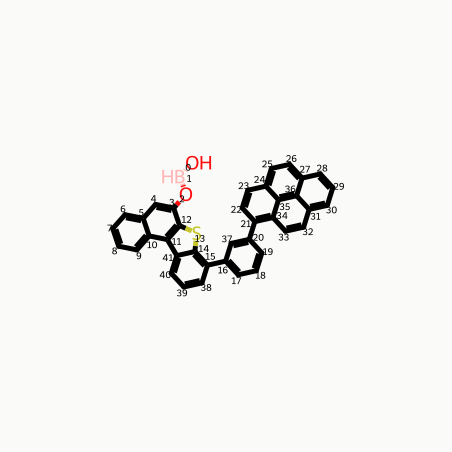 OBOc1cc2ccccc2c2c1sc1c(-c3cccc(-c4ccc5ccc6cccc7ccc4c5c67)c3)cccc12